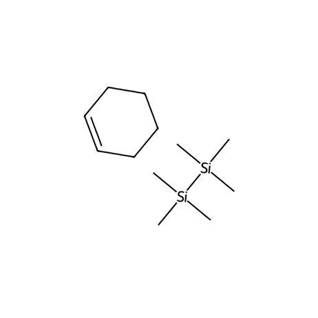 C1=CCCCC1.C[Si](C)(C)[Si](C)(C)C